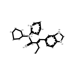 CC/C(=C\c1ccc2c(c1)OCO2)C(=O)N(c1ccccn1)C1CCCCC1